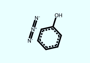 Oc1ccccc1.[N-]=[N+]=[N-]